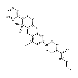 COCNC(=O)C1CCN(c2ccc(CN3C(C)CCC(c4ccccc4)S3(=O)=O)c(F)c2)CC1